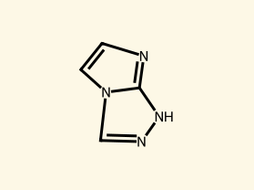 c1cn2cn[nH]c2n1